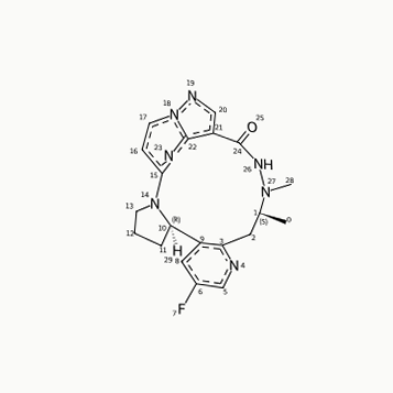 C[C@H]1Cc2ncc(F)cc2[C@H]2CCCN2c2ccn3ncc(c3n2)C(=O)NN1C